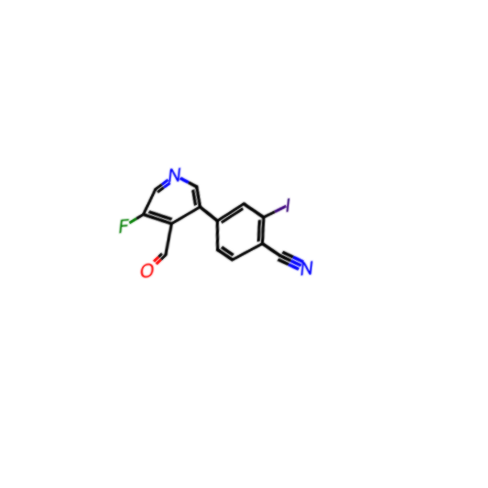 N#Cc1ccc(-c2cncc(F)c2C=O)cc1I